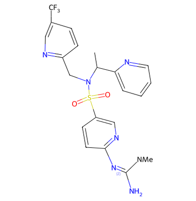 CN/C(N)=N\c1ccc(S(=O)(=O)N(Cc2ccc(C(F)(F)F)cn2)C(C)c2ccccn2)cn1